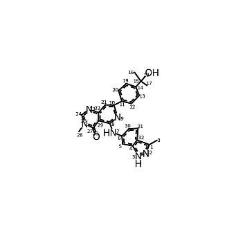 Cc1n[nH]c2cc(Nc3nc(-c4ccc(C(C)(C)O)cc4)cc4ncn(C)c(=O)c34)ccc12